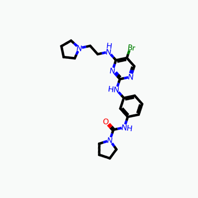 O=C(Nc1cccc(Nc2ncc(Br)c(NCCN3CCCC3)n2)c1)N1CCCC1